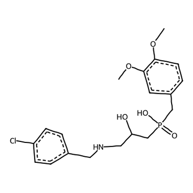 COc1ccc(CP(=O)(O)CC(O)CNCc2ccc(Cl)cc2)cc1OC